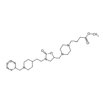 COC(=O)CCCN1CCN(CC2CN(CCC3CCN(Cc4ccccc4)CC3)C(=O)O2)CC1